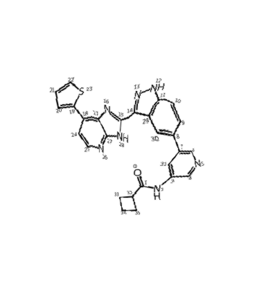 O=C(Nc1cncc(-c2ccc3[nH]nc(-c4nc5c(-c6cccs6)ccnc5[nH]4)c3c2)c1)C1CCC1